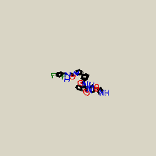 O=C(N[C@@H](C(=O)N1CCC(OC2CCNCC2)CC1)C1CCCCC1)c1cccc([C@@H]2CCCN(C(=O)CNCc3ccc(F)cc3F)C2)c1